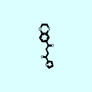 O=C(CCC(=O)c1cccs1)c1ccc2c(c1)SCCO2